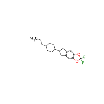 CCCC1CCC(C2Cc3cc4c(cc3C2)OC(F)(F)O4)CC1